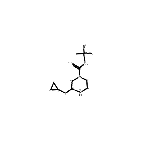 CC(C)(C)OC(=O)N1CCNC(CC2CC2)C1